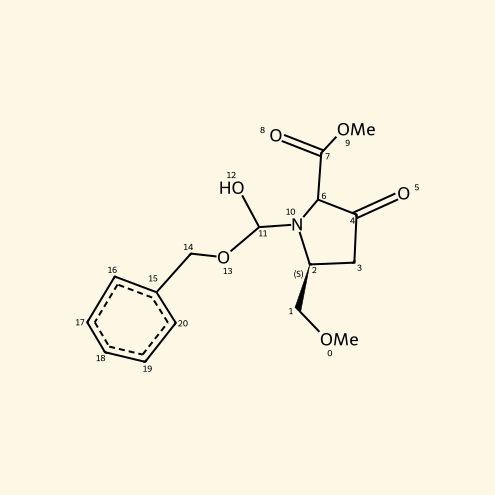 COC[C@@H]1CC(=O)C(C(=O)OC)N1C(O)OCc1ccccc1